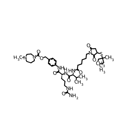 CCC(C)(CC)SC1CC(=O)N(CCCCCC(=O)N[C@H](C(=O)N[C@@H](CCCNC(N)=O)C(=O)Nc2ccc(COC(=O)N3CCCN(C)CC3)cc2)C(C)C)C1=O